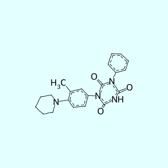 Cc1cc(-n2c(=O)[nH]c(=O)n(-c3ccccc3)c2=O)ccc1N1CCCCC1